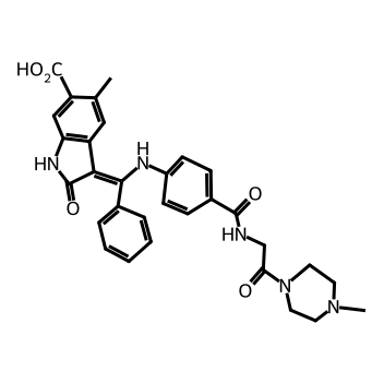 Cc1cc2c(cc1C(=O)O)NC(=O)C2=C(Nc1ccc(C(=O)NCC(=O)N2CCN(C)CC2)cc1)c1ccccc1